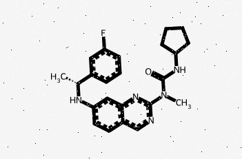 C[C@@H](Nc1ccc2cnc(N(C)C(=O)NC3CCCC3)nc2c1)c1cccc(F)c1